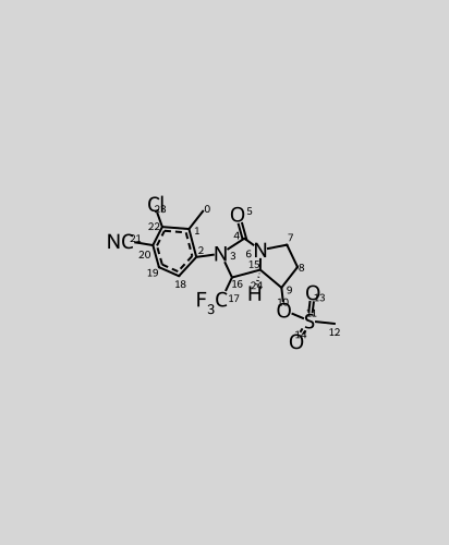 Cc1c(N2C(=O)N3CCC(OS(C)(=O)=O)[C@H]3C2C(F)(F)F)ccc(C#N)c1Cl